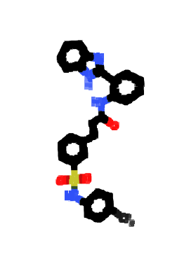 O=C(/C=C/c1cccc(S(=O)(=O)Nc2ccc(C(F)(F)F)cc2)c1)Nc1ccccc1-c1nc2ccccc2[nH]1